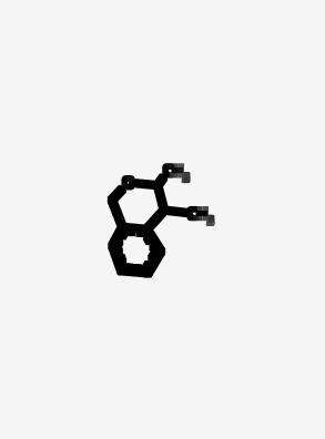 CC1OCc2ccccc2C1C